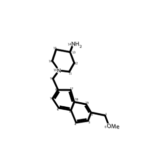 COCc1ccc2ccc(CN3CCC(N)CC3)cc2c1